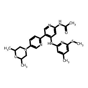 CSc1cc(C)cc(Nc2cc(NC(C)=O)ncc2-c2ccc(N3CC(C)OC(C)C3)cn2)n1